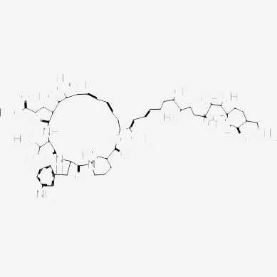 CCC1CC[C@@](O)(C(C)C(O)C(C)CCC(O)C(C)CC/C=C/C=C(\C)[C@@H]2C/C=C/C=C/[C@H](O)C(C)C(O)C(CCC(C)=O)C(=O)NC(C(C)C)C(=O)NC(Cc3cccc(N)c3)C(=O)N3CCCC(N3)C(=O)O2)NC1=O